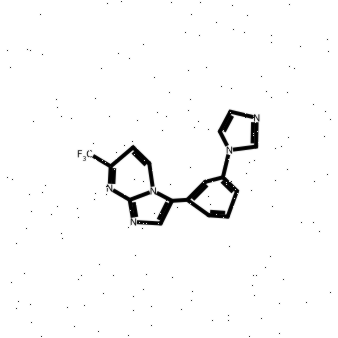 FC(F)(F)c1ccn2c(-c3cccc(-n4ccnc4)c3)cnc2n1